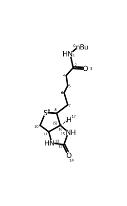 CCCCNC(=O)CCCCC1SCC2NC(=O)N[C@@H]21